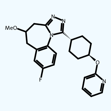 COC1Cc2cc(F)ccc2-n2c(nnc2[C@H]2CC[C@H](Oc3ccccn3)CC2)C1